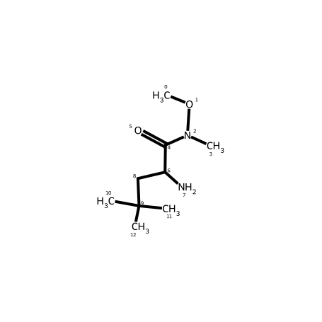 CON(C)C(=O)C(N)CC(C)(C)C